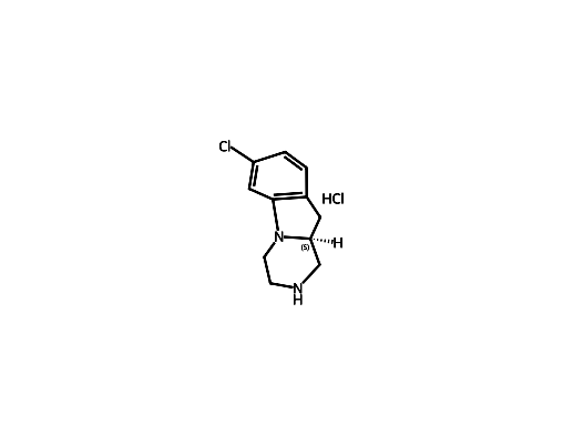 Cl.Clc1ccc2c(c1)N1CCNC[C@@H]1C2